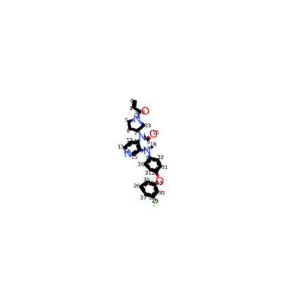 C=CC(=O)N1CCC(N(C=O)c2ccncc2N(C)c2ccc(Oc3cccc(F)c3)cc2)C1